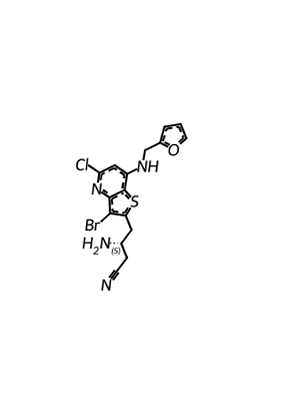 N#CC[C@H](N)Cc1sc2c(NCc3ccco3)cc(Cl)nc2c1Br